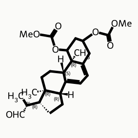 COC(=O)OC1CC2=CC=C3[C@@H]4CC[C@H]([C@@H](C)C=O)[C@@]4(C)CC[C@@H]3[C@@]2(C)C(OC(=O)OC)C1